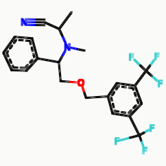 CC(C#N)N(C)C(COCc1cc(C(F)(F)F)cc(C(F)(F)F)c1)c1ccccc1